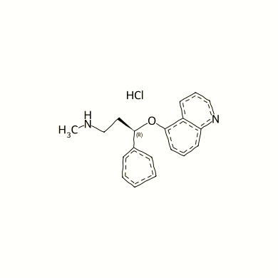 CNCC[C@@H](Oc1cccc2ncccc12)c1ccccc1.Cl